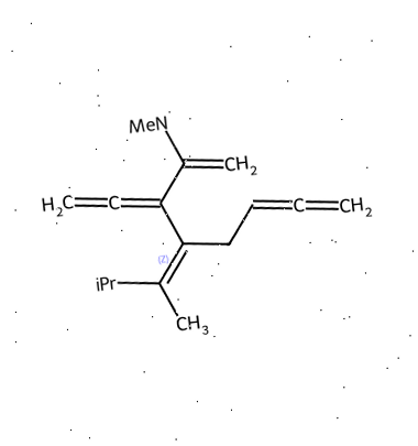 C=C=CC/C(C(=C=C)C(=C)NC)=C(\C)C(C)C